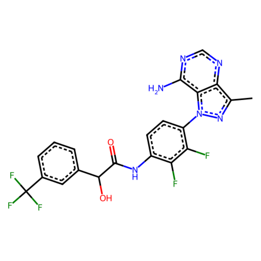 Cc1nn(-c2ccc(NC(=O)C(O)c3cccc(C(F)(F)F)c3)c(F)c2F)c2c(N)ncnc12